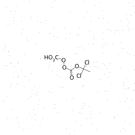 CC(Cl)(Cl)OC(=O)OOC(=O)O